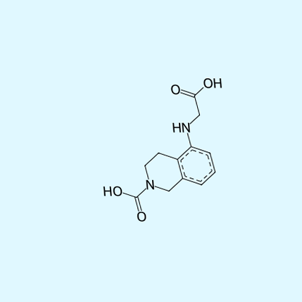 O=C(O)CNc1cccc2c1CCN(C(=O)O)C2